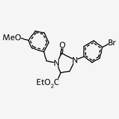 CCOC(=O)C1CN(c2ccc(Br)cc2)C(=O)N1Cc1cccc(OC)c1